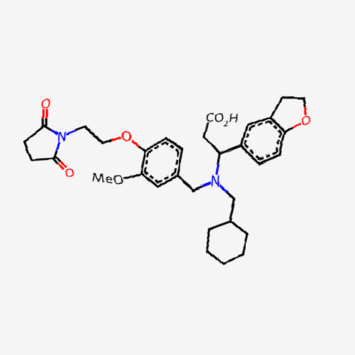 COc1cc(CN(CC2CCCCC2)C(CC(=O)O)c2ccc3c(c2)CCO3)ccc1OCCN1C(=O)CCC1=O